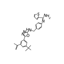 C=C(C)c1cc(-c2nnc(NCc3ccc(/N=C(/N)c4cccs4)cc3)o2)cc(C(C)(C)C)c1